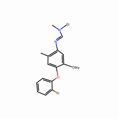 CCN(C)/C=N/c1cc(OC)c(Oc2ccccc2Br)cc1C